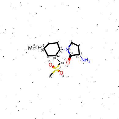 CO[C@@H]1CC[C@H](N2CC[C@H](N)C2=O)[C@H](CS(C)(=O)=O)C1